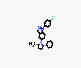 C[C@H]1CC[C@@H](c2ccccc2)N1c1ccc2c(cnn2-c2ccc(F)cc2)c1